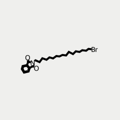 O=C1c2ccccc2C(=O)N1CCCCCCCCCCCCCCCCCBr